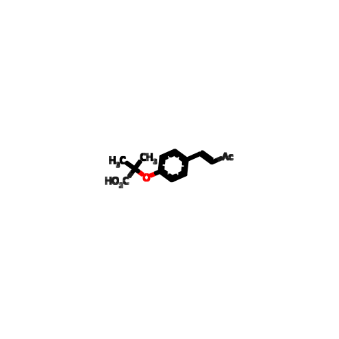 CC(=O)C=Cc1ccc(OC(C)(C)C(=O)O)cc1